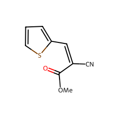 COC(=O)C(C#N)=Cc1cccs1